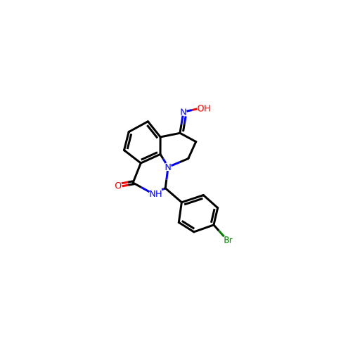 O=C1NC(c2ccc(Br)cc2)N2CCC(=NO)c3cccc1c32